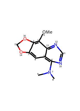 COc1c2c(cc3c(N(C)C)ncnc13)OCO2